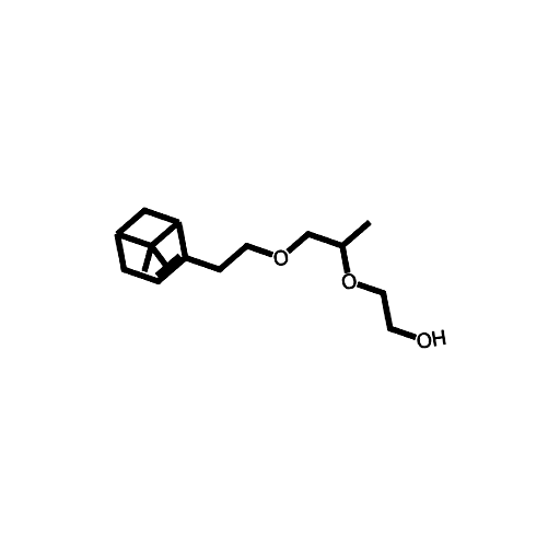 CC(COCCC1=CCC2CC1C2(C)C)OCCO